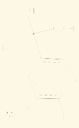 COc1cc(C(C)(C)C(=O)O)ccc1F